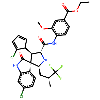 CCOC(=O)c1ccc(NC(=O)[C@@H]2N[C@@H](C[C@@H](C)C(F)(F)F)[C@@]3(C(=O)Nc4cc(Cl)ccc43)[C@H]2C2C=CC=C2Cl)c(OC)c1